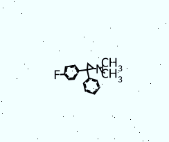 CN(C)C1CC1(c1ccccc1)c1ccc(F)cc1